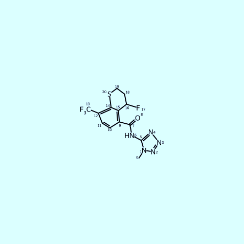 Cn1nnnc1NC(=O)c1ccc(C(F)(F)F)c2c1C(F)CCS2